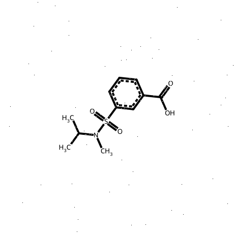 CC(C)N(C)S(=O)(=O)c1cccc(C(=O)O)c1